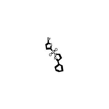 O=S(=O)(c1ccc(Br)s1)n1ccc(-c2ccccc2)n1